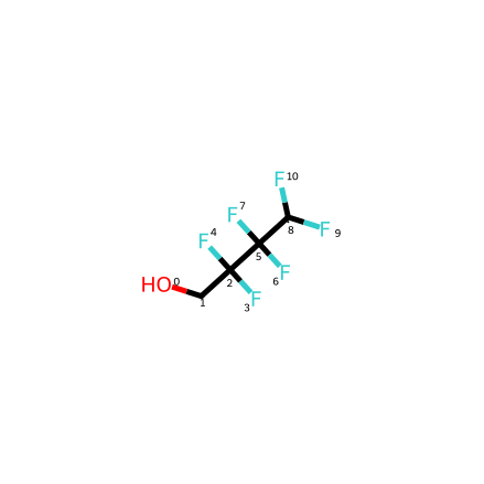 OCC(F)(F)C(F)(F)[C](F)F